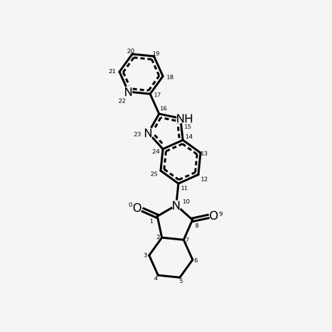 O=C1C2CCCCC2C(=O)N1c1ccc2[nH]c(-c3ccccn3)nc2c1